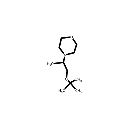 CC(COC(C)(C)C)N1CCOCC1